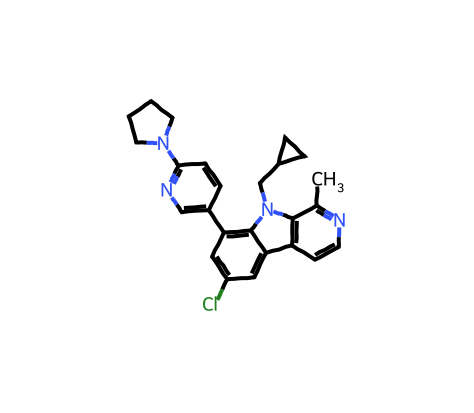 Cc1nccc2c3cc(Cl)cc(-c4ccc(N5CCCC5)nc4)c3n(CC3CC3)c12